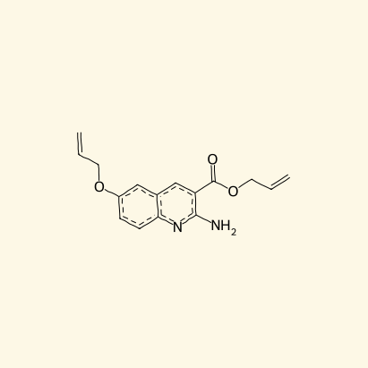 C=CCOC(=O)c1cc2cc(OCC=C)ccc2nc1N